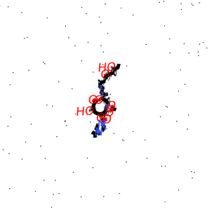 CC[C@H](O)[C@@H](C)[C@H]1O[C@@H]1C[C@H](C)/C=C/C=C(\C)[C@H]1OC(=O)C[C@H](O)CC[C@@](C)(OC(=O)N2CC[N+](C)(C(C)C)CC2)[C@@H](OC(C)=O)/C=C/[C@@H]1C